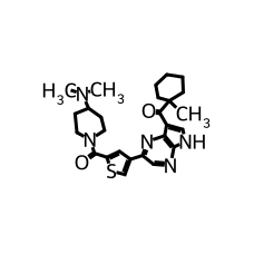 CN(C)C1CCN(C(=O)c2cc(-c3cnc4[nH]cc(C(=O)C5(C)CCCCC5)c4n3)cs2)CC1